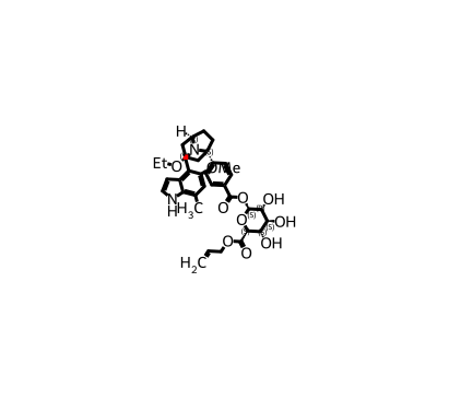 C=CCOC(=O)[C@H]1O[C@@H](OC(=O)c2ccc([C@]34CC[C@H](C[C@H](OCC)C3)N4Cc3c(OC)cc(C)c4[nH]ccc34)cc2)[C@H](O)[C@@H](O)[C@@H]1O